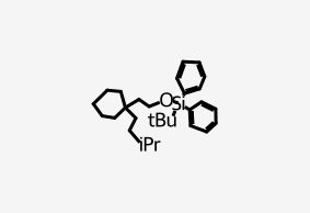 CC(C)CCC1(CCO[Si](c2ccccc2)(c2ccccc2)C(C)(C)C)CCCCC1